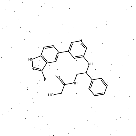 O=C(CO)NCC(Nc1cncc(-c2ccc3[nH]nc(F)c3c2)c1)c1ccccc1